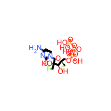 Nc1ccn(C2O[C@](CF)(COP(=O)(O)OP(=O)(O)OP(=O)(O)O)[C@@H](O)[C@]2(O)CF)c(=O)n1